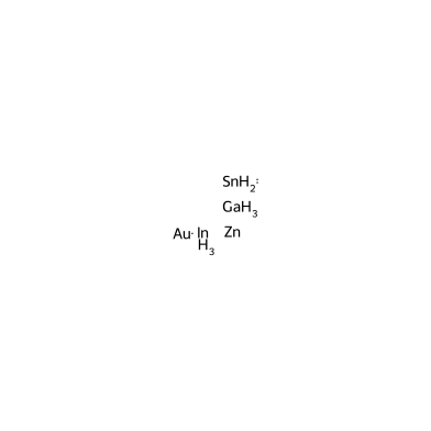 [Au].[GaH3].[InH3].[SnH2].[Zn]